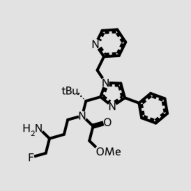 COCC(=O)N(CCC(N)CF)[C@@H](c1nc(-c2ccccc2)cn1Cc1ccccn1)C(C)(C)C